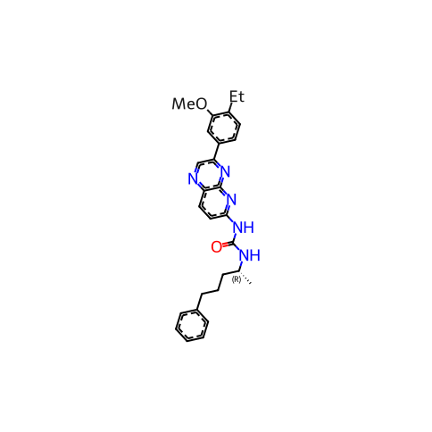 CCc1ccc(-c2cnc3ccc(NC(=O)N[C@H](C)CCCc4ccccc4)nc3n2)cc1OC